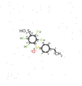 C=Cc1ccc([S+]([O-])c2c(F)c(F)c(S(=O)(=O)O)c(F)c2F)cc1